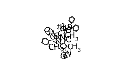 Cc1ccccc1C(Cn1c(=O)n(C(C)(C)C(=O)O[Si](c2ccccc2)(c2ccccc2)C(C)(C)C)c(=O)c2c(C)c(-c3ncco3)sc21)OC1CCOCC1